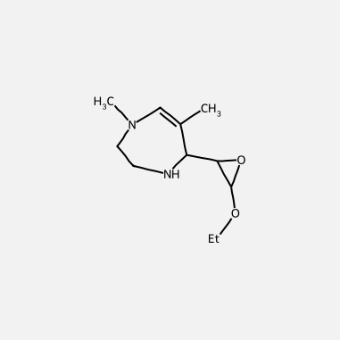 CCOC1OC1C1NCCN(C)C=C1C